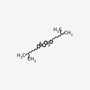 CCCC(CCC)CCCCCCc1ccc2sc3c(ccc4c3ccc3c5cc(CCCCCCC(CCC)CCC)ccc5sc34)c2c1